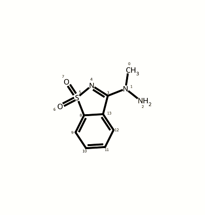 CN(N)C1=NS(=O)(=O)c2ccccc21